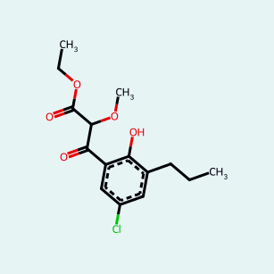 CCCc1cc(Cl)cc(C(=O)C(OC)C(=O)OCC)c1O